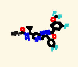 CCCC(=O)N[C@@H](c1cnn2cc([C@@H](NC(=O)c3cc(F)cc(OC(F)F)c3)C3CCC(F)(F)CC3)nc2c1)C1CC1